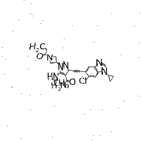 C=CC(=O)N1CC(n2nc(C#Cc3cc4ncn(C5CC5)c4cc3Cl)c(C(N)=O)c2NC)C1